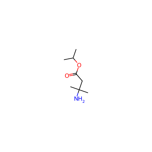 CC(C)OC(=O)CC(C)(C)N